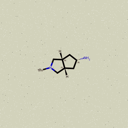 CC(C)(C)N1C[C@H]2C[C@@H](N)C[C@H]2C1